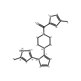 Cc1csc(C(=O)N2CCN(c3cccn3-c3cc(C)[nH]n3)CC2)c1